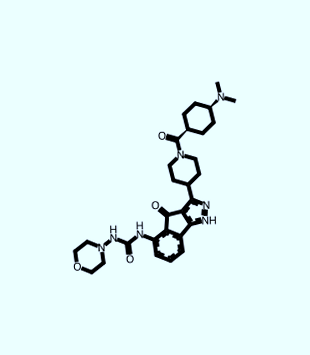 CN(C)[C@H]1CC[C@@H](C(=O)N2CCC(c3n[nH]c4c3C(=O)c3c(NC(=O)NN5CCOCC5)cccc3-4)CC2)CC1